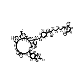 C=CCC1C(=O)C(C)(C)C(OC(=O)OCc2ccc(OC(=O)CCCCCN3C(=O)C=CC3=O)cc2)CC(=O)OC(c2ccc3sc(C)nc3c2)CC2OC2(C)CCCC(C)C1O